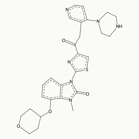 Cn1c(=O)n(-c2nc(C(=O)Cc3cnccc3N3CCNCC3)cs2)c2cccc(OC3CCOCC3)c21